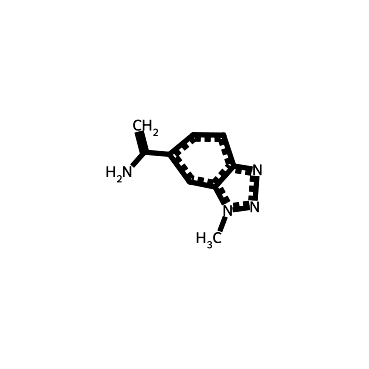 C=C(N)c1ccc2nnn(C)c2c1